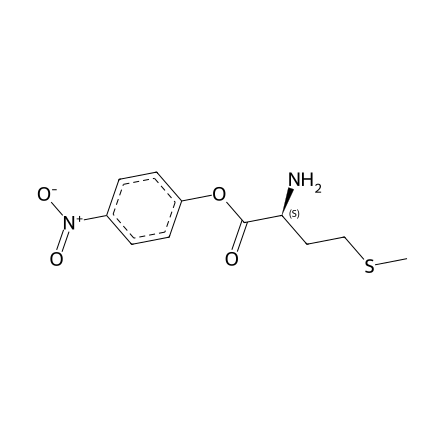 CSCC[C@H](N)C(=O)Oc1ccc([N+](=O)[O-])cc1